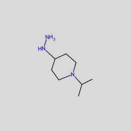 CC(C)N1CCC(NN)CC1